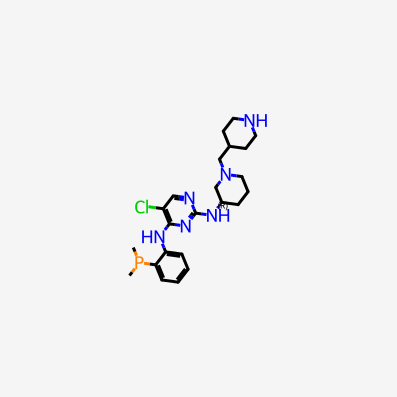 CP(C)c1ccccc1Nc1nc(N[C@@H]2CCCN(CC3CCNCC3)C2)ncc1Cl